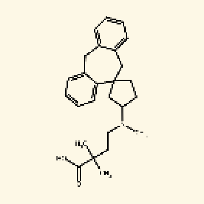 CN(CCC(C)(C)C(=O)O)C1CCC2(Cc3ccccc3Cc3ccccc32)C1